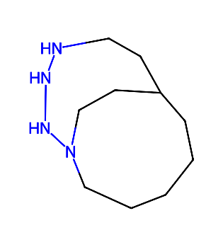 C1CCC2CCNNNN(CC1)CC2